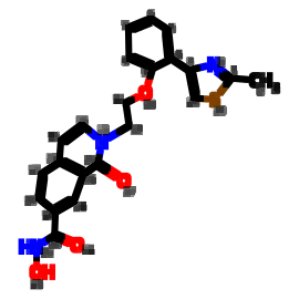 Cc1nc(-c2ccccc2OCCn2ccc3ccc(C(=O)NO)cc3c2=O)cs1